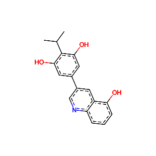 CC(C)c1c(O)cc(-c2cnc3cccc(O)c3c2)cc1O